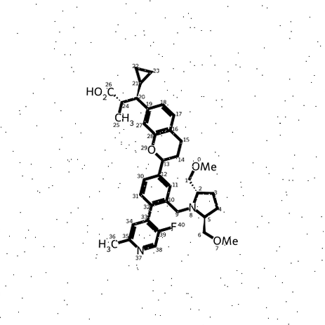 COC[C@@H]1CC[C@@H](COC)N1Cc1cc(C2CCc3ccc([C@H](C4CC4)[C@H](C)C(=O)O)cc3O2)ccc1-c1cc(C)ncc1F